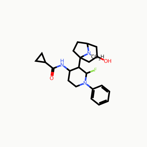 O=C(NC1CCN(c2ccccc2)C(F)C1C12CCC(CC(O)C1)N2C(=O)O)C1CC1